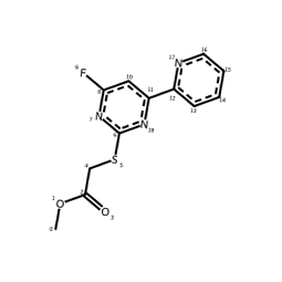 COC(=O)CSc1nc(F)cc(-c2ccccn2)n1